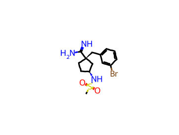 CS(=O)(=O)N[C@H]1CC[C@](Cc2cccc(Br)c2)(C(=N)N)C1